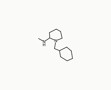 CNC1CCCCN1CC1CCCCC1